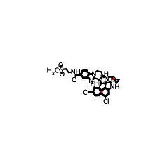 CS(=O)(=O)CCNC(=O)c1ccc2c(c1)nc1n2CC[C@H]2[C@@H]1[C@H](c1cccc(Cl)c1F)[C@]1(C(=O)Nc3cc(Cl)ccc31)N2CC1CC1